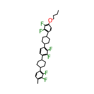 CCCCOc1ccc(C2CCC(c3ccc(C4CCC(c5ccc(C)c(F)c5F)CC4)c(F)c3F)CC2)c(F)c1F